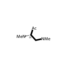 CNC[C@H](NC)C(C)=O